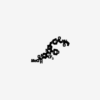 C/C=C\C(=O)NCC(=O)N1CCN(Cc2cc3c(N4CCOCC4)nc(-c4cnc(NC(=O)OC)cc4C(F)(F)F)nn3c2)CC1